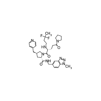 Cn1nnc2cc(CNC(=O)[C@@H]3C[C@@H](Cc4ccncc4)CN3C(=O)[C@@H](CCC(=O)N3CCCC3)NCCC(C)(F)F)ccc21